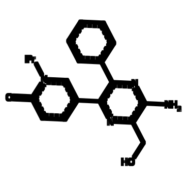 CC(C)n1cc(-c2nc(CO)c(N)nc2-c2ccccc2)ccc1=O